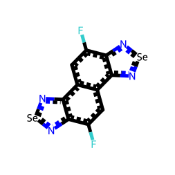 Fc1cc2c(cc(F)c3n[se]nc32)c2n[se]nc12